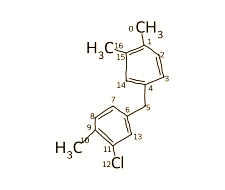 Cc1ccc(Cc2ccc(C)c(Cl)c2)cc1C